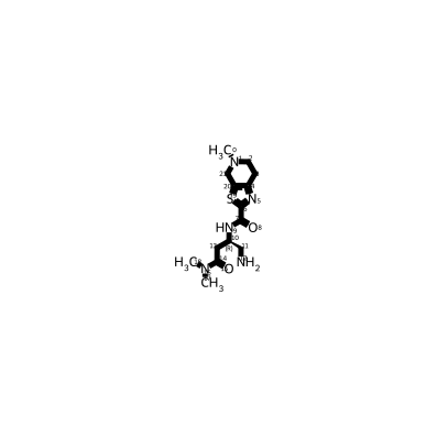 CN1CCc2nc(C(=O)N[C@@H](CN)CC(=O)N(C)C)sc2C1